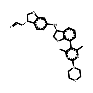 Cc1nc(N2CCOCC2)nc(C)c1-c1cccc2c1OC[C@H]2Nc1ccc2c(c1)OC[C@H]2CC=O